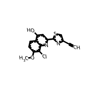 C#Cc1csc(-c2cc(O)c3ccc(OC)c(Cl)c3n2)n1